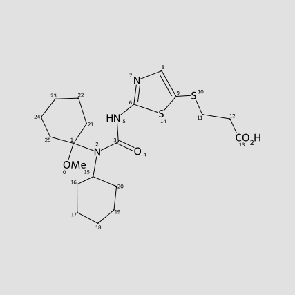 COC1(N(C(=O)Nc2ncc(SCCC(=O)O)s2)C2CCCCC2)CCCCC1